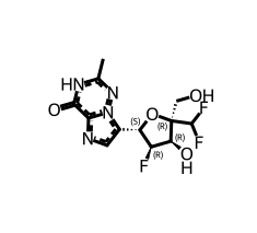 Cc1nn2c([C@@H]3O[C@@](CO)(C(F)F)[C@@H](O)[C@H]3F)cnc2c(=O)[nH]1